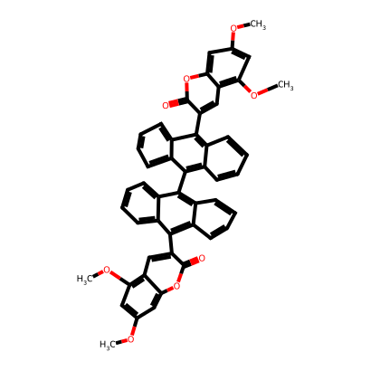 COc1cc(OC)c2cc(-c3c4ccccc4c(-c4c5ccccc5c(-c5cc6c(OC)cc(OC)cc6oc5=O)c5ccccc45)c4ccccc34)c(=O)oc2c1